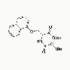 COC(=O)C(COc1cccc2ccccc12)NC(=O)OC(C)(C)C